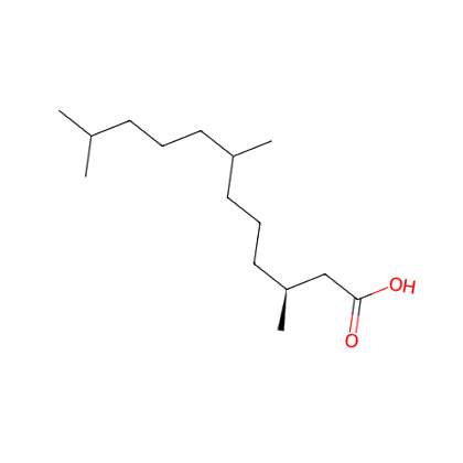 CC(C)CCCC(C)CCC[C@H](C)CC(=O)O